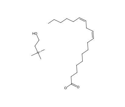 CCCCC/C=C\C/C=C\CCCCCCCC(=O)[O-].C[N+](C)(C)CCO